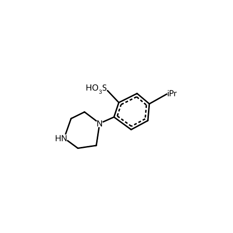 CC(C)c1ccc(N2CCNCC2)c(S(=O)(=O)O)c1